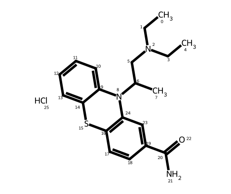 CCN(CC)CC(C)N1c2ccccc2Sc2ccc(C(N)=O)cc21.Cl